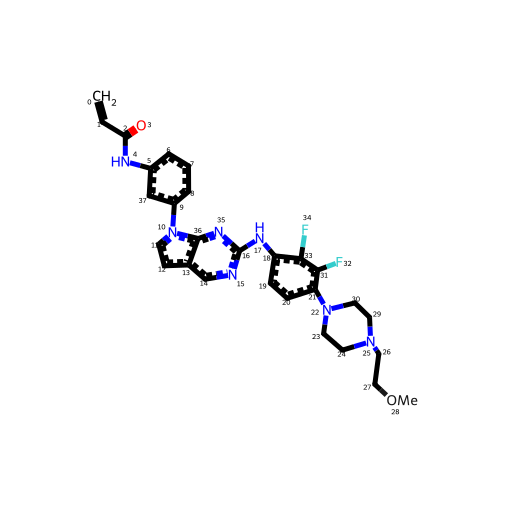 C=CC(=O)Nc1cccc(-n2ccc3cnc(Nc4ccc(N5CCN(CCOC)CC5)c(F)c4F)nc32)c1